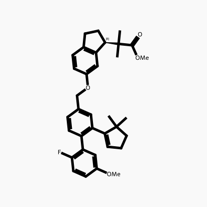 COC(=O)C(C)(C)[C@@H]1CCc2ccc(OCc3ccc(-c4cc(OC)ccc4F)c(C4=CCCC4(C)C)c3)cc21